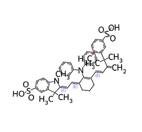 C=C(/C=C/C1=C(N(c2ccccc2)c2ccccc2)C(=C/C=C2\N(C)c3ccc(S(=O)(=O)O)cc3C2(C)C)/CCC1)C(C)(C)c1cc(S(=O)(=O)O)ccc1C